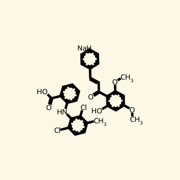 COc1cc(O)c(C(=O)C=Cc2ccccc2)c(OC)c1.Cc1ccc(Cl)c(Nc2ccccc2C(=O)O)c1Cl.[NaH]